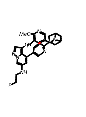 COc1ncc(CN2C3CC2CN(c2ccc(-c4cc(NCCF)cn5ncc(C#N)c45)cn2)C3)cc1F